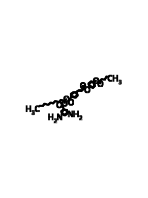 CCCCCCCCCCC(OC(=O)c1ccc(C=CC(=O)Oc2ccc(OC(=O)CCCC)cc2)cc1)OC(=O)c1cc(N)cc(N)c1